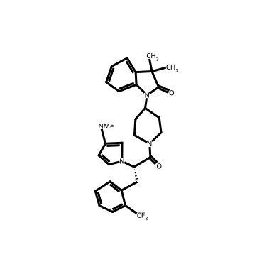 CNc1ccn([C@@H](Cc2ccccc2C(F)(F)F)C(=O)N2CCC(N3C(=O)C(C)(C)c4ccccc43)CC2)c1